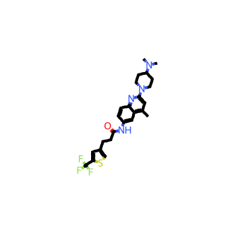 Cc1cc(N2CCC(N(C)C)CC2)nc2ccc(NC(=O)CCc3csc(C(F)(F)F)c3)cc12